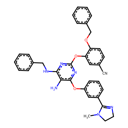 CN1CCN=C1c1cccc(Oc2nc(Oc3cc(C#N)ccc3OCc3ccccc3)nc(NCc3ccccc3)c2N)c1